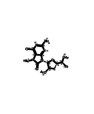 CCCCn1c(=O)n([C@@H]2O[C@H]([C@H](CC)OC(C)=O)C[C@H]2OC(C)=O)c2nc(N)nc(Cl)c21